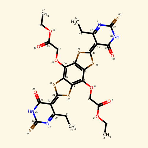 CCOC(=O)COc1c2c(c(OCC(=O)OCC)c3c1SC(=C1C(=O)NC(=S)N=C1CC)S3)SC(=C1C(=O)NC(=S)N=C1CC)S2